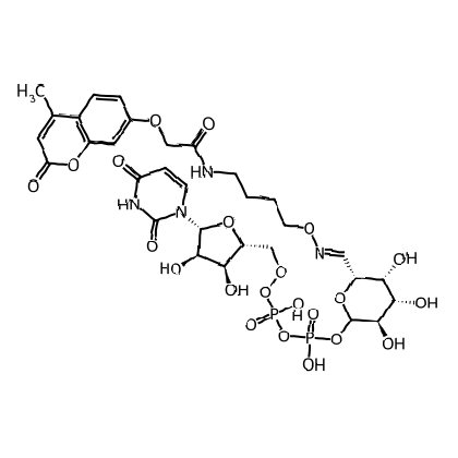 Cc1cc(=O)oc2cc(OCC(=O)NCCCCON=C[C@H]3OC(OP(=O)(O)OP(=O)(O)OOC[C@H]4O[C@@H](n5ccc(=O)[nH]c5=O)[C@H](O)[C@@H]4O)[C@H](O)[C@@H](O)[C@H]3O)ccc12